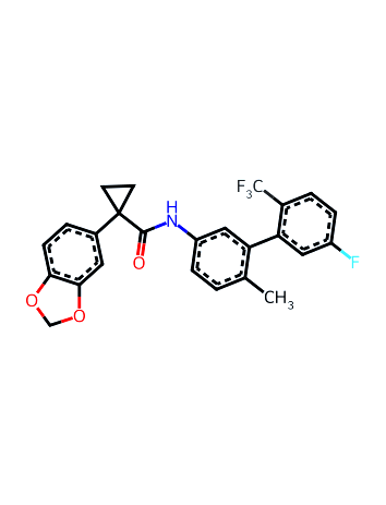 Cc1ccc(NC(=O)C2(c3ccc4c(c3)OCO4)CC2)cc1-c1cc(F)ccc1C(F)(F)F